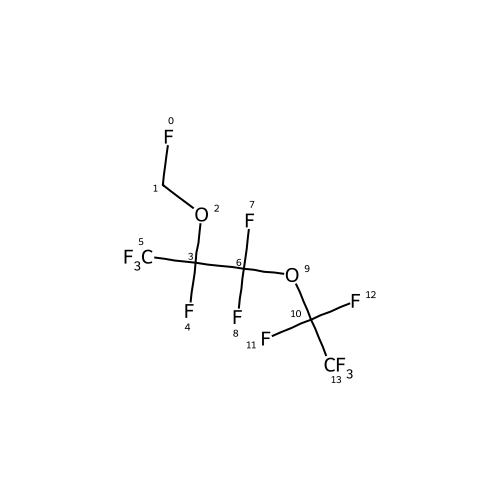 FCOC(F)(C(F)(F)F)C(F)(F)OC(F)(F)C(F)(F)F